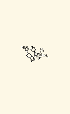 CC(C)(C)NC(=O)Nc1ncnc2ccc(-c3c[nH]nc3-c3ccccn3)cc12